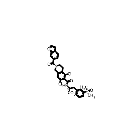 CP(C)(=O)c1cccc(C[C@H](NC(=O)c2c(Cl)cc3c(c2Cl)CCN(C(=O)c2ccc4ccoc4c2)C3)C(=O)O)c1